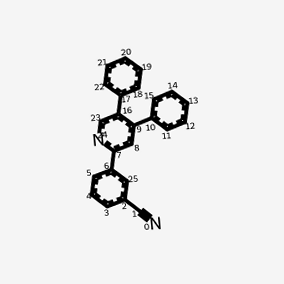 N#Cc1cccc(-c2cc(-c3ccccc3)c(-c3ccccc3)cn2)c1